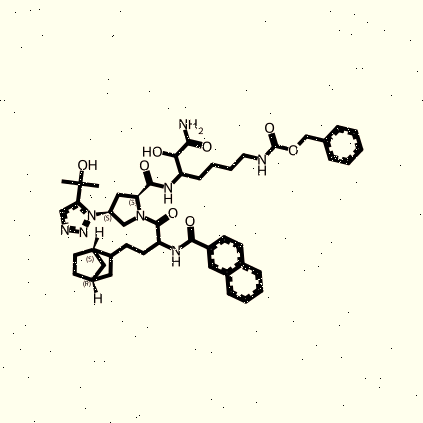 CC(C)(O)c1cnnn1[C@H]1C[C@@H](C(=O)NC(CCCCNC(=O)OCc2ccccc2)C(O)C(N)=O)N(C(=O)C(CCC2C[C@@H]3CC[C@H]2C3)NC(=O)c2ccc3ccccc3c2)C1